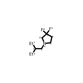 CCC(CC)CN1CCC(F)(F)C1